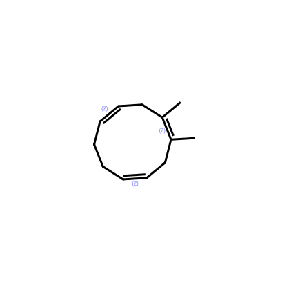 C/C1=C(\C)C/C=C\CC/C=C\C1